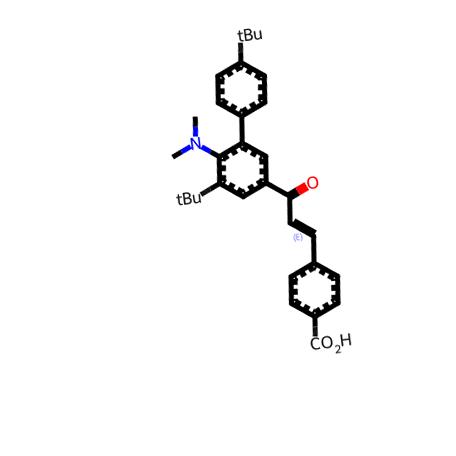 CN(C)c1c(-c2ccc(C(C)(C)C)cc2)cc(C(=O)/C=C/c2ccc(C(=O)O)cc2)cc1C(C)(C)C